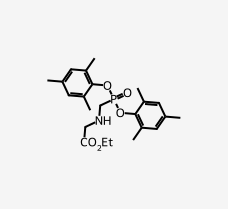 CCOC(=O)CNCP(=O)(Oc1c(C)cc(C)cc1C)Oc1c(C)cc(C)cc1C